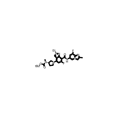 CCn1cc2c(N3CC[C@H](N(C)C(=O)OC(C)(C)C)C3)cc(F)c(C(=O)Nc3cc(F)c4nc(C)cn4c3)c2n1